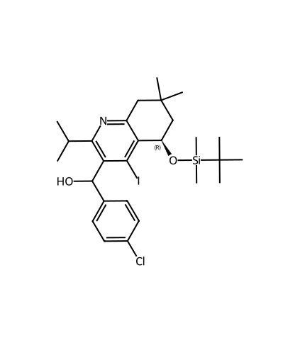 CC(C)c1nc2c(c(I)c1C(O)c1ccc(Cl)cc1)[C@H](O[Si](C)(C)C(C)(C)C)CC(C)(C)C2